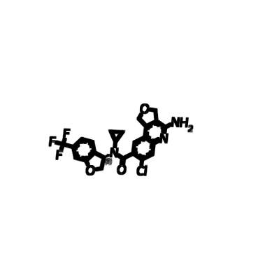 Nc1nc2cc(Cl)c(C(=O)N(C3CC3)[C@@H]3COc4cc(C(F)(F)F)ccc43)cc2c2c1COC2